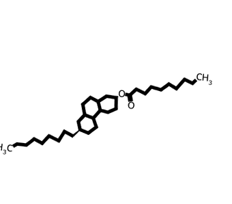 CCCCCCCCCC(=O)O[C@@H]1CCC2C(CCC3C[C@H](CCCCCCCCC)CCC32)C1